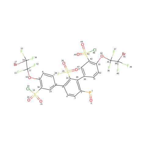 O=Pc1ccc(-c2ccc(OC(F)(F)C(F)(F)Br)c(S(=O)(=O)Cl)c2)c(S(=O)(=O)F)c1-c1ccc(OC(F)(F)C(F)(F)Br)c(S(=O)(=O)Cl)c1